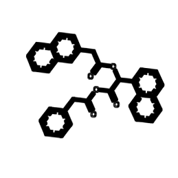 O=C(Cc1ccccc1)OC(=O)C(OC(=O)Cc1ccc2ccccc2c1)c1cccc2ccccc12